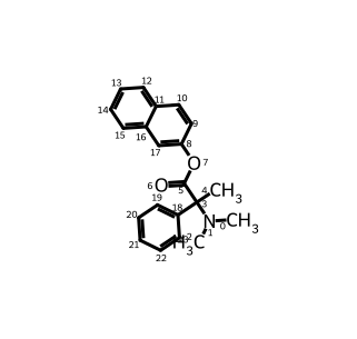 CN(C)C(C)(C(=O)Oc1ccc2ccccc2c1)c1ccccc1